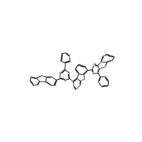 c1ccc(-c2nc(-c3ccc4c(c3)sc3ccccc34)nc(-c3cccc4sc5c(-c6nc(-c7ccccc7)c7sc8ccccc8c7n6)cccc5c34)n2)cc1